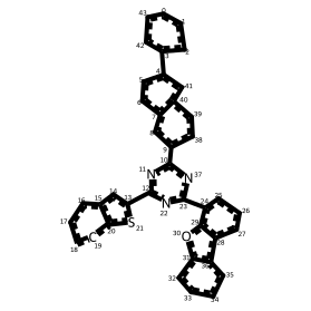 c1ccc(-c2ccc3cc(-c4nc(-c5cc6ccccc6s5)nc(-c5cccc6c5oc5ccccc56)n4)ccc3c2)cc1